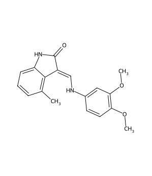 COc1ccc(N/C=C2/C(=O)Nc3cccc(C)c32)cc1OC